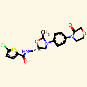 CC1O[C@@H](CNC(=O)c2ccc(Cl)s2)CN1c1ccc(N2CCOCC2=O)cc1